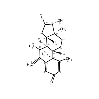 C=C1C2=CC(=O)C=C(C)[C@]2(C)[C@H]2CC[C@]3(C)[C@@H](O)C(F)C[C@H]3[C@@H]2C1C